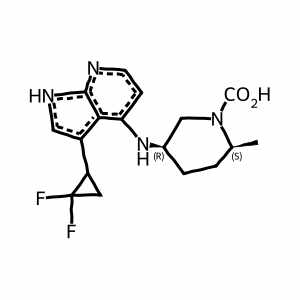 C[C@H]1CC[C@@H](Nc2ccnc3[nH]cc(C4CC4(F)F)c23)CN1C(=O)O